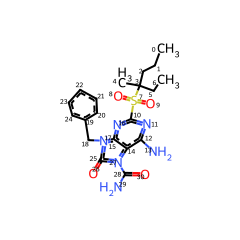 CCCC(C)(CC)S(=O)(=O)c1nc(N)c2c(n1)n(Cc1ccccc1)c(=O)n2C(N)=O